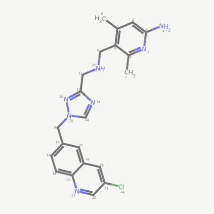 Cc1cc(N)nc(C)c1CNCc1ncn(Cc2ccc3ncc(Cl)cc3c2)n1